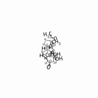 CC(=O)[C@H]1CC[C@H]2[C@@H]3CCC4=CC(=O)CC(O)(O)[C@]4(C)[C@H]3CC[C@]12C